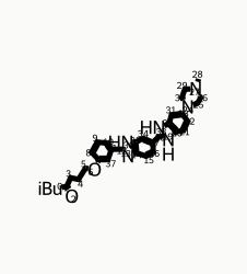 CCC(C)C(=O)CCCOc1cccc(-c2nc3ccc(C4Nc5ccc(N6CCN(C)CC6)cc5N4)cc3[nH]2)c1